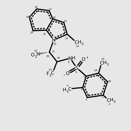 Cc1cc(C)c(S(=O)(=O)NC([C@@H](n2c(C)cc3ccccc32)[N+](=O)[O-])C(F)(F)F)c(C)c1